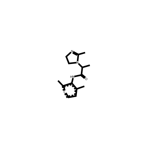 CC1=NCCN1C(C)C(=O)Nc1c(C)cccc1C